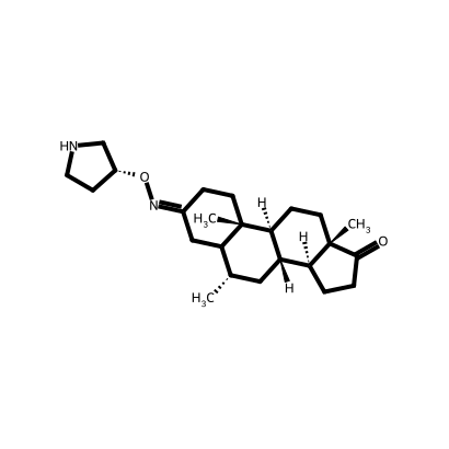 C[C@H]1C[C@@H]2[C@H](CC[C@]3(C)C(=O)CC[C@@H]23)[C@@]2(C)CCC(=NO[C@@H]3CCNC3)CC12